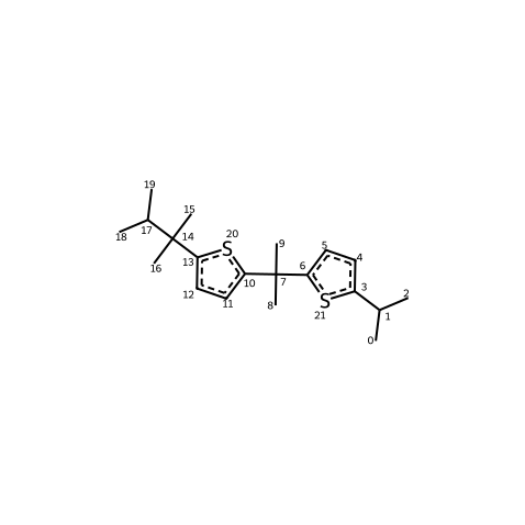 CC(C)c1ccc(C(C)(C)c2ccc(C(C)(C)C(C)C)s2)s1